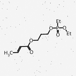 CC=CC(=O)OCCCOP(=O)(CC)OCC